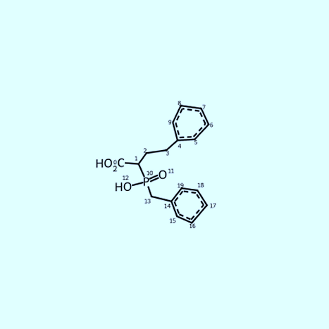 O=C(O)C(CCc1ccccc1)P(=O)(O)Cc1ccccc1